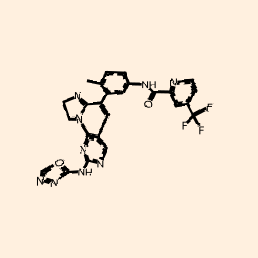 Cc1ccc(NC(=O)c2cc(C(F)(F)F)ccn2)cc1C1=Cc2cnc(Nc3nnco3)nc2N2CCN=C12